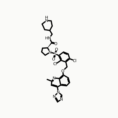 Cc1cc(-n2cncn2)c2cccc(OCc3c(Cl)ccc(S(=O)(=O)N4CCC[C@H]4C(=O)NCC4CCNCC4)c3Cl)c2n1